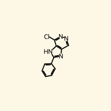 Clc1nncc2nc(-c3ccccc3)[nH]c12